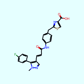 Cn1ncc(C=CC(=O)Nc2ccc(Cc3nc(C(=O)O)cs3)cc2)c1-c1ccc(F)cc1